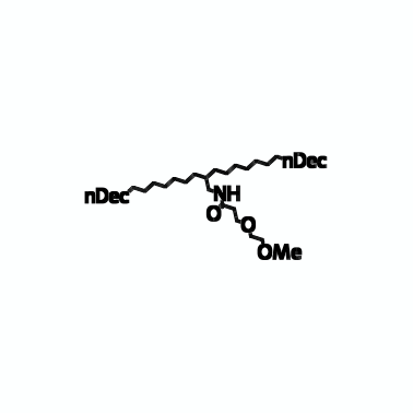 CCCCCCCCCCCCCCCCCC(CCCCCCCCCCCCCCCCC)CNC(=O)CCOCCOC